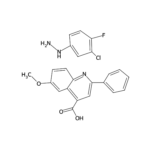 COc1ccc2nc(-c3ccccc3)cc(C(=O)O)c2c1.NNc1ccc(F)c(Cl)c1